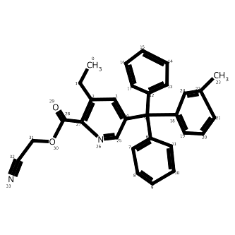 CCc1cc(C(c2ccccc2)(c2ccccc2)c2cccc(C)c2)cnc1C(=O)OCC#N